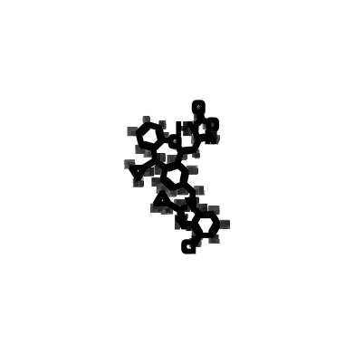 O=c1[nH]c(C=C2Oc3ccccc3C(C3CC3)c3ccc(Cn4c(C5CC5)nc5c(Cl)cccc54)cc32)no1